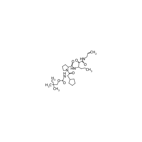 C=CCNC(=O)C(=O)C(CCC)NC(=O)C1CCCN1C(=O)[C@@H](NC(=O)OCC(C)(C)C)C1CCCC1